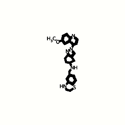 COc1ccc2nccc(-n3cc4c(n3)CCC(NCc3ccc5c(c3)NCCS5)C4)c2c1